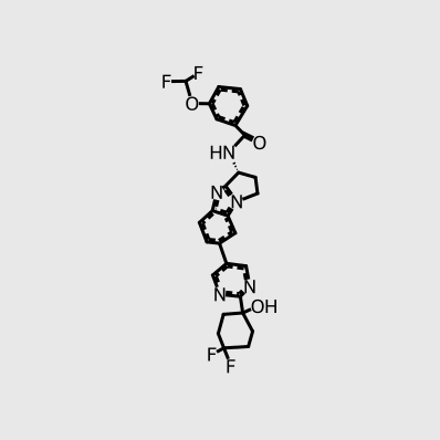 O=C(N[C@@H]1CCn2c1nc1ccc(-c3cnc(C4(O)CCC(F)(F)CC4)nc3)cc12)c1cccc(OC(F)F)c1